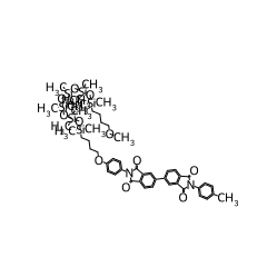 COCCCC[Si](C)(C)O[Si](C)(C)O[Si](C)(C)O[Si](C)(C)O[Si](C)(C)O[Si](C)(C)CCCCOc1ccc(N2C(=O)c3ccc(-c4ccc5c(c4)C(=O)N(c4ccc(C)cc4)C5=O)cc3C2=O)cc1